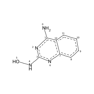 Nc1nc(NO)nc2ccccc12